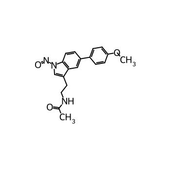 COc1ccc(-c2ccc3c(c2)c(CCNC(C)=O)cn3N=O)cc1